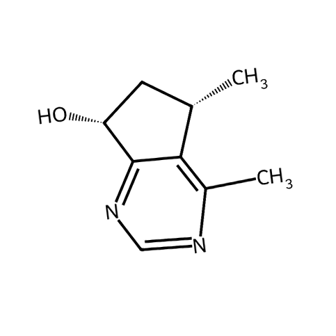 Cc1ncnc2c1[C@@H](C)C[C@H]2O